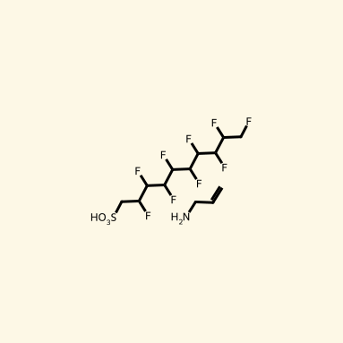 C=CCN.O=S(=O)(O)CC(F)C(F)C(F)C(F)C(F)C(F)C(F)C(F)CF